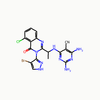 CC(Nc1nc(N)nc(N)c1C#N)c1nc2cccc(Cl)c2c(=O)n1-c1n[nH]cc1Br